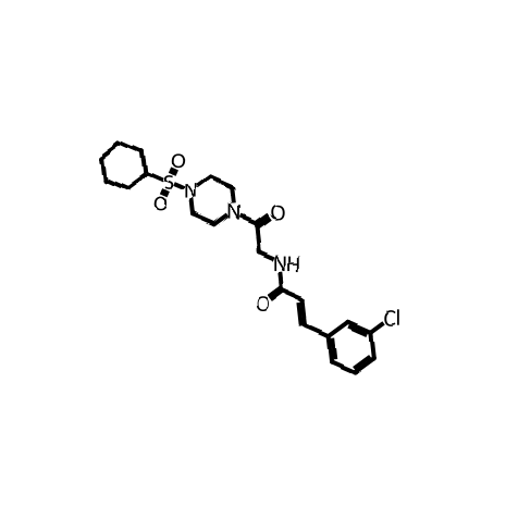 O=C(/C=C/c1cccc(Cl)c1)NCC(=O)N1CCN(S(=O)(=O)C2CCCCC2)CC1